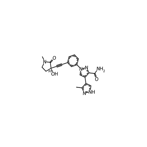 Cc1n[nH]cc1-c1cn(-c2cccc(C#C[C@]3(O)CCN(C)C3=O)c2)nc1C(N)=O